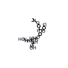 CCN(CC)CCOc1ccc(C(=O)c2c(-c3ccc(OCC(=O)NCC(C)(CNC(C)(C)/C(C)=N/O)CNC(C)(C)/C(C)=N/O)cc3)oc3ccc(Cl)cc23)cc1